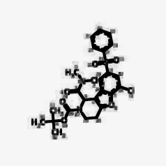 CN(C)C(=O)C1c2c(oc3c(Cl)cc(S(=O)(=O)c4ccccc4)cc23)CCN1C(=O)OC(C)(C)C